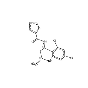 O=C(N[C@@H]1C[C@@H](C(=O)O)Nc2cc(Cl)cc(Cl)c21)c1ccco1